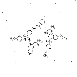 CCOc1ccc(S(=O)(=O)N(CC(=O)N2Cc3ccccc3CC2CC(N)=O)c2ccc(C)cc2)cc1.CCOc1ccc(S(=O)(=O)N(CC(=O)NC(CCc2ccccc2)C(N)=O)c2ccc(OC)cc2)cc1